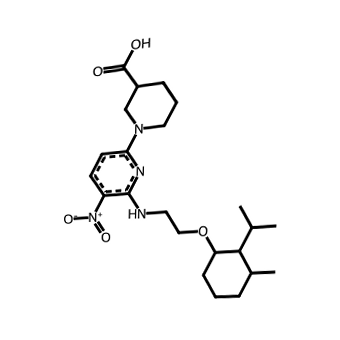 CC(C)C1C(C)CCCC1OCCNc1nc(N2CCCC(C(=O)O)C2)ccc1[N+](=O)[O-]